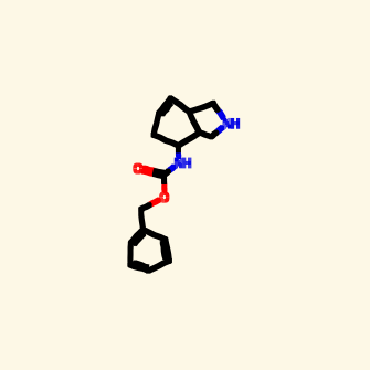 O=C(NC1CC=CC2CNCC21)OCc1ccccc1